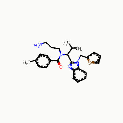 Cc1ccc(C(=O)N(CCCN)C(c2nc3ccccc3n2Cc2cccs2)C(C)C)cc1